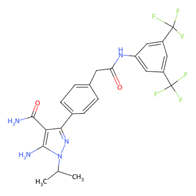 CC(C)n1nc(-c2ccc(CC(=O)Nc3cc(C(F)(F)F)cc(C(F)(F)F)c3)cc2)c(C(N)=O)c1N